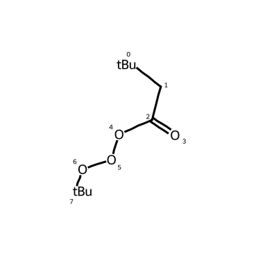 CC(C)(C)CC(=O)OOOC(C)(C)C